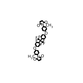 Cc1cc(Oc2ccc(C(c3ccc(Oc4ccc(N5C(=O)C=CC5=O)c(C)c4)cc3)(C(F)(F)F)C(F)(F)F)cc2)ccc1N1C(=O)C=CC1=O